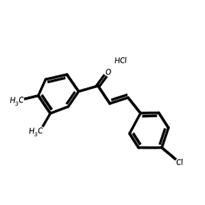 Cc1ccc(C(=O)C=Cc2ccc(Cl)cc2)cc1C.Cl